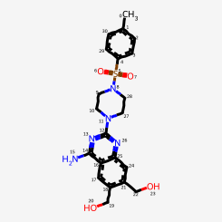 Cc1ccc(S(=O)(=O)N2CCN(c3nc(N)c4cc(CO)c(CO)cc4n3)CC2)cc1